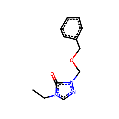 CCn1cnn(COCc2ccccc2)c1=O